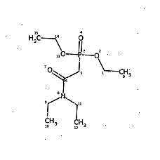 CCOP(=O)(CC(=O)N(CC)CC)OCC